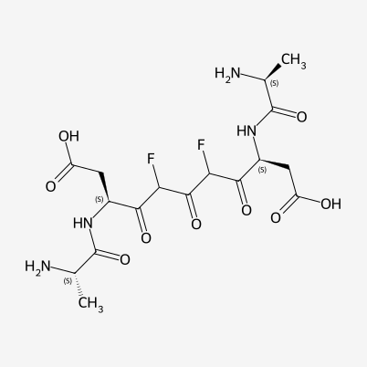 C[C@H](N)C(=O)N[C@@H](CC(=O)O)C(=O)C(F)C(=O)C(F)C(=O)[C@H](CC(=O)O)NC(=O)[C@H](C)N